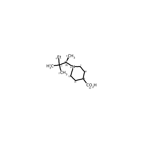 CCC(C)(C)[C@@H](C)N1CCC(C(=O)O)CC1